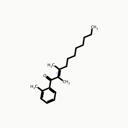 CCCCCCCC/C(C)=C(\C)C(=O)c1ccccc1C